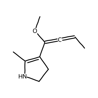 CC=C=C(OC)C1=C(C)NCC1